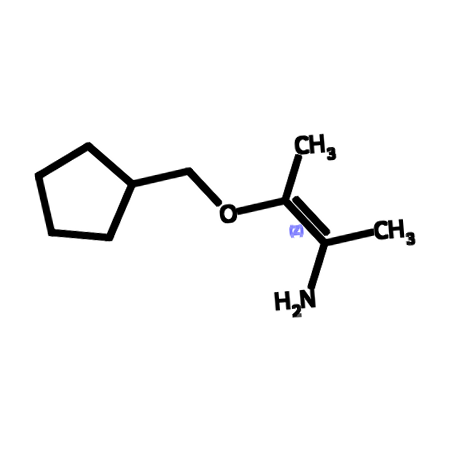 C/C(N)=C(\C)OCC1CCCC1